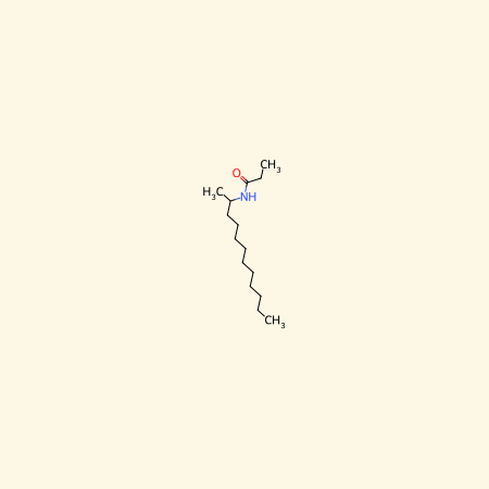 CCCCCCCCCCC(C)NC(=O)CC